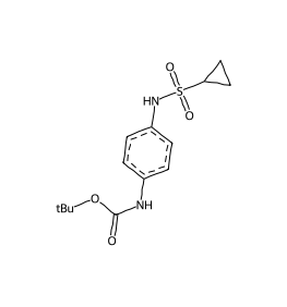 CC(C)(C)OC(=O)Nc1ccc(NS(=O)(=O)C2CC2)cc1